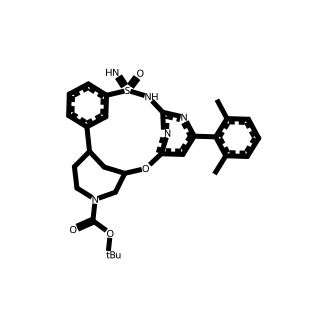 Cc1cccc(C)c1-c1cc2nc(n1)NS(=N)(=O)c1cccc(c1)C1CCN(C(=O)OC(C)(C)C)CC(C1)O2